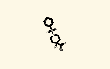 NC1(C(=O)O)CCN(S(=O)(=O)c2ccccc2)CC1